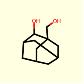 OCC12CC3CC(CC(C3)C1O)C2